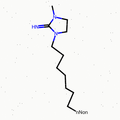 CCCCCCCCCCCCCCCCN1CCN(C)C1=N